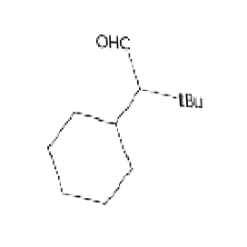 CC(C)(C)C(C=O)C1CCCCC1